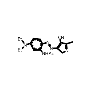 CCN(CC)c1ccc(N=NC2=C(C#N)C(C)=NC2)c(NC(C)=O)c1